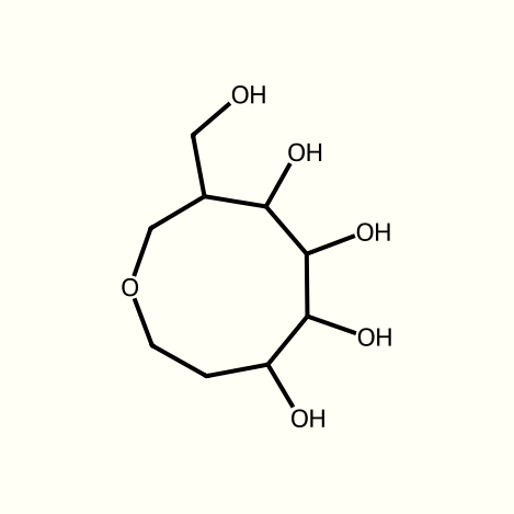 OCC1COCCC(O)C(O)C(O)C1O